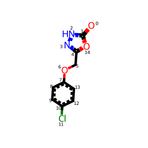 O=c1[nH]nc(COc2ccc(Cl)cc2)o1